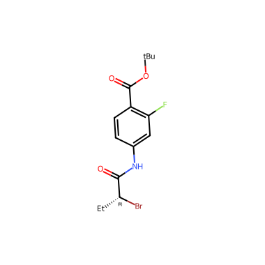 CC[C@@H](Br)C(=O)Nc1ccc(C(=O)OC(C)(C)C)c(F)c1